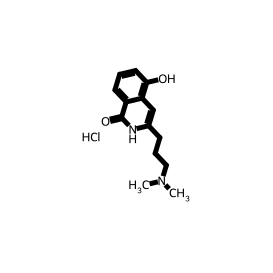 CN(C)CCCc1cc2c(O)cccc2c(=O)[nH]1.Cl